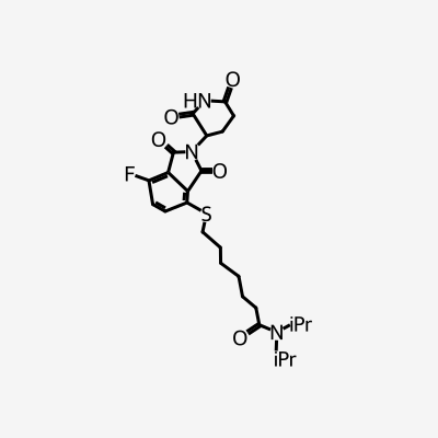 CC(C)N(C(=O)CCCCCCSc1ccc(F)c2c1C(=O)N(C1CCC(=O)NC1=O)C2=O)C(C)C